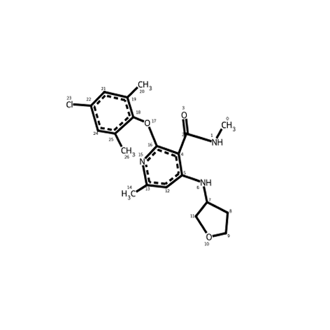 CNC(=O)c1c(NC2CCOC2)cc(C)nc1Oc1c(C)cc(Cl)cc1C